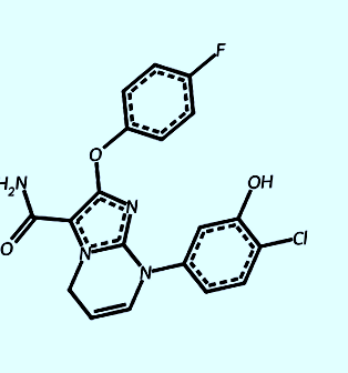 NC(=O)c1c(Oc2ccc(F)cc2)nc2n1CC=CN2c1ccc(Cl)c(O)c1